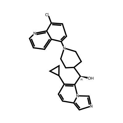 O[C@@H](c1c(C2CC2)ccc2cncn12)C1CCN(c2ccc(Cl)c3ncccc23)CC1